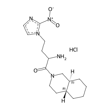 Cl.NC(CCn1ccnc1[N+](=O)[O-])C(=O)N1CC[C@H]2CCCC[C@@H]2C1